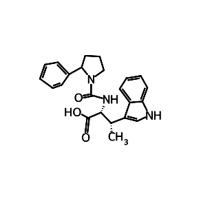 C[C@@H](c1c[nH]c2ccccc12)[C@@H](NC(=O)N1CCCC1c1ccccc1)C(=O)O